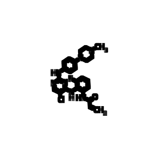 C=CC(=O)Nc1cccc(F)c1Nc1nc(Nc2ccc(N3CCN(C)CC3)cc2)ncc1Cl